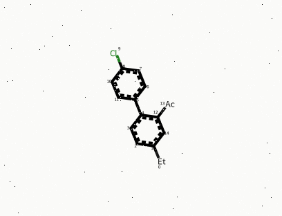 CCc1ccc(-c2ccc(Cl)cc2)c(C(C)=O)c1